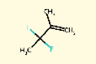 C=C(C)C(C)(F)F